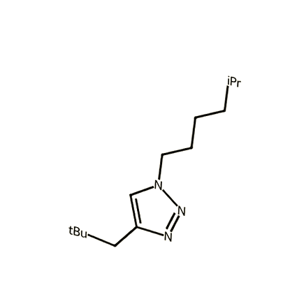 CC(C)CCCCn1cc(CC(C)(C)C)nn1